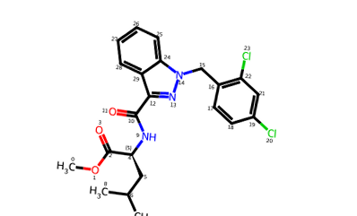 COC(=O)[C@H](CC(C)C)NC(=O)c1nn(Cc2ccc(Cl)cc2Cl)c2ccccc12